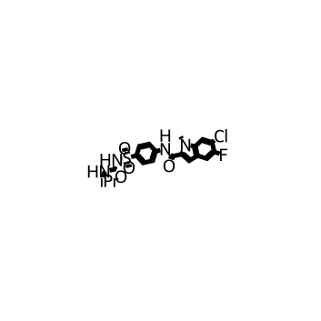 CC(C)NC(=O)NS(=O)(=O)c1ccc(NC(=O)c2cc3cc(F)c(Cl)cc3n2C)cc1